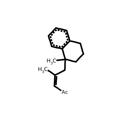 CC(=O)/C=C(/C)CC1(C)CCCc2ccccc21